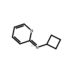 C1=C[N]/C(=N\C2CCC2)C=C1